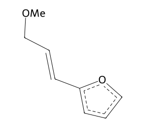 COC/C=C/c1ccco1